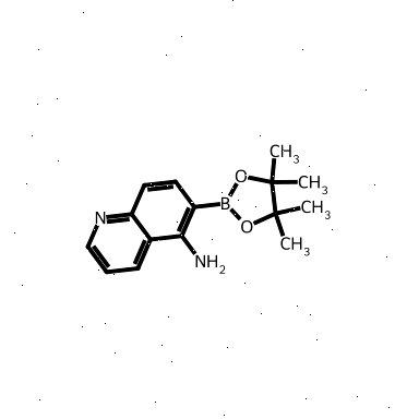 CC1(C)OB(c2ccc3ncccc3c2N)OC1(C)C